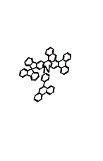 c1ccc2c(c1)-c1ccccc1C21c2ccccc2-c2cc(-c3cccc4ccccc34)c(N(c3ccc(-c4cc5ccccc5c5ccccc45)cc3)c3ccc4c5ccccc5c5ccccc5c4c3)cc21